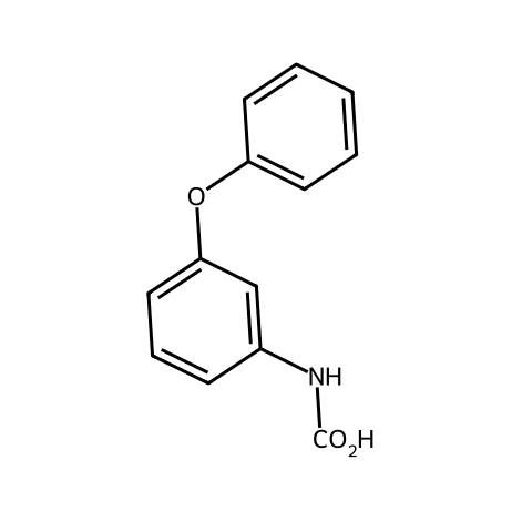 O=C(O)Nc1cccc(Oc2ccccc2)c1